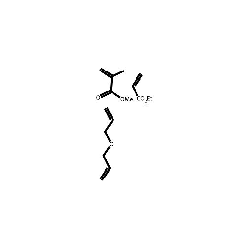 C=C(C)C(=O)OC.C=CC(=O)OCC.C=CCOCC=C